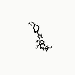 Cn1nc(C2=CCC(N)CC2)nc1Nc1ccc2[nH]ncc2c1Cl